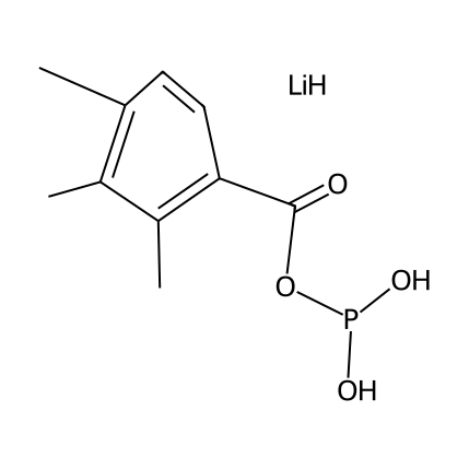 Cc1ccc(C(=O)OP(O)O)c(C)c1C.[LiH]